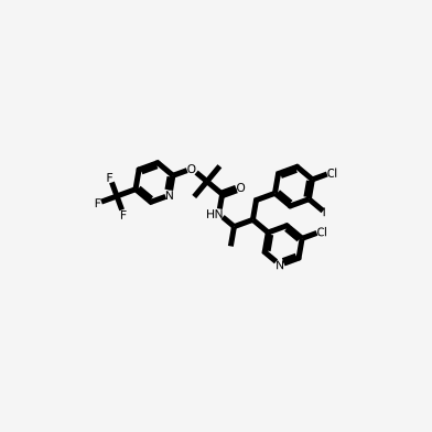 CC(NC(=O)C(C)(C)Oc1ccc(C(F)(F)F)cn1)C(Cc1ccc(Cl)c(I)c1)c1cncc(Cl)c1